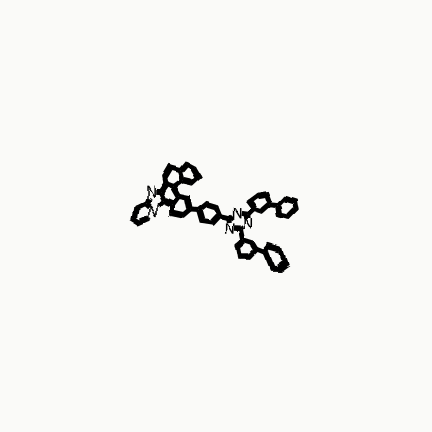 c1ccc(-c2cccc(-c3nc(-c4ccc(-c5ccc6c(c5)c5c7ccccc7ccc5c5nc7ccccn7c65)cc4)nc(-c4cccc(-c5ccccc5)c4)n3)c2)cc1